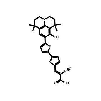 [C-]#[N+]/C(=C\c1ccc(-c2ccc(-c3cc4c5c(c3O)C(C)(C)CCN5CCC4(C)C)s2)s1)C(=O)O